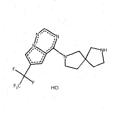 Cl.FC(F)(F)C(F)(F)c1cc2c(N3CCC4(CCNC4)C3)ncnn2c1